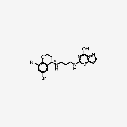 Oc1nc(NCCCN[C@@H]2CCOc3c(Br)cc(Br)cc32)nc2ccnn12